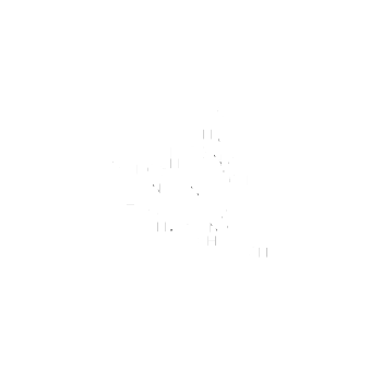 CCCCN1C(C)(C)CC(N(C2CC(C)(C)N(CCCC)C(C)(C)C2)C2CC(C)(C)N(CCCC)C(C)(C)C2)CC1(C)C